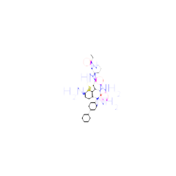 C=CC(=O)N1CCCC(NC(=O)c2sc3c(N)ccc4c3c2C(N)C(=O)C4(N)c2ccc(-c3ccccc3)cc2)C1